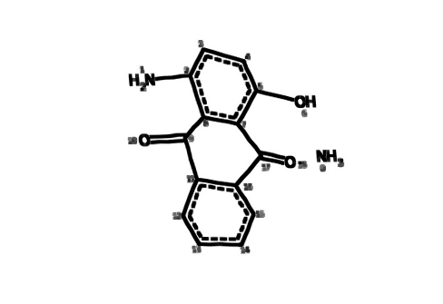 N.Nc1ccc(O)c2c1C(=O)c1ccccc1C2=O